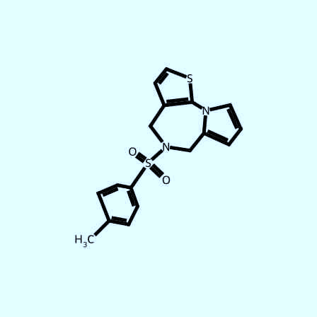 Cc1ccc(S(=O)(=O)N2Cc3ccsc3-n3cccc3C2)cc1